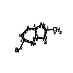 Cc1nc2ccc(Br)nn2n1